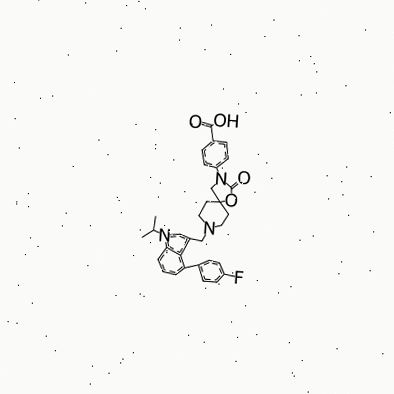 CC(C)n1cc(CN2CCC3(CC2)CN(c2ccc(C(=O)O)cc2)C(=O)O3)c2c(-c3ccc(F)cc3)cccc21